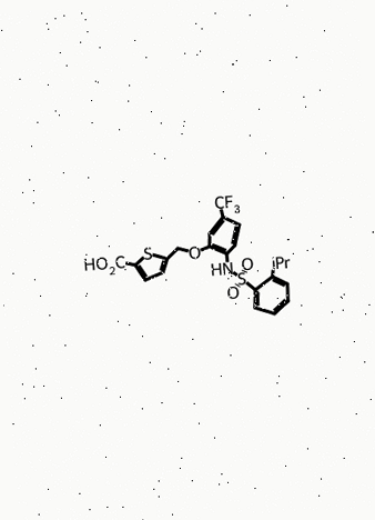 CC(C)c1ccccc1S(=O)(=O)Nc1ccc(C(F)(F)F)cc1OCc1ccc(C(=O)O)s1